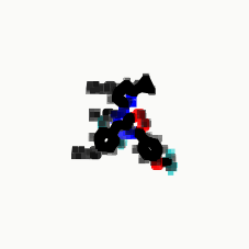 COc1cc(C2CC2)nc(-n2c(=O)c(NC(=O)c3ccc(OC(F)F)cc3)c(-c3c(F)cc(OC)cc3F)n2C)c1